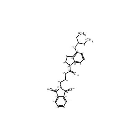 CCC(CC)Oc1cccc2c1CCN2C(=O)CCCN1C(=O)c2ccccc2C1=O